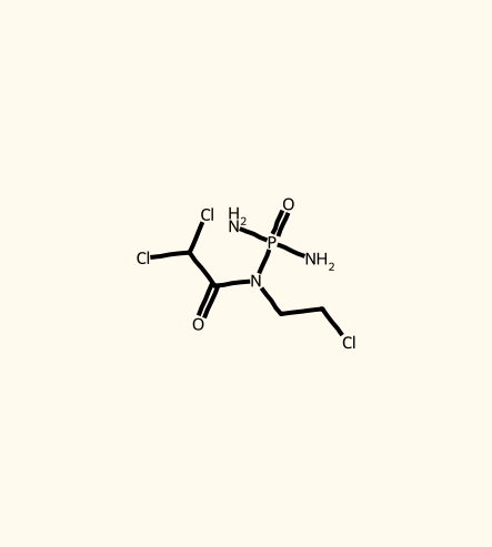 NP(N)(=O)N(CCCl)C(=O)C(Cl)Cl